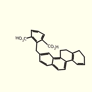 O=C(O)c1cccc(C(=O)O)c1Cc1ccc2ccc3c(c2c1)CCC1=C3C=CCC1